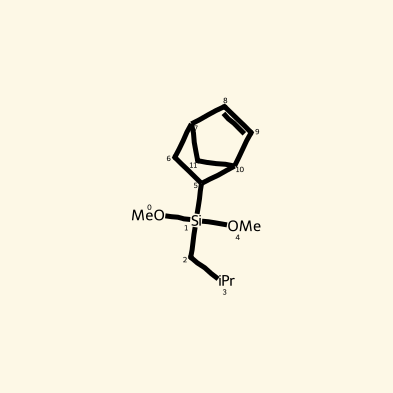 CO[Si](CC(C)C)(OC)C1CC2C=CC1C2